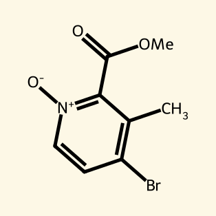 COC(=O)c1c(C)c(Br)cc[n+]1[O-]